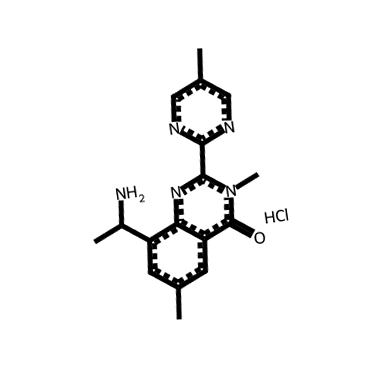 Cc1cnc(-c2nc3c(C(C)N)cc(C)cc3c(=O)n2C)nc1.Cl